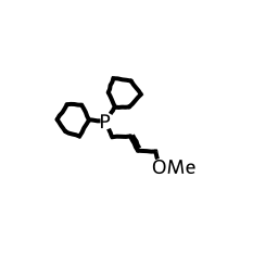 COCC=CCP(C1CCCCC1)C1CCCCC1